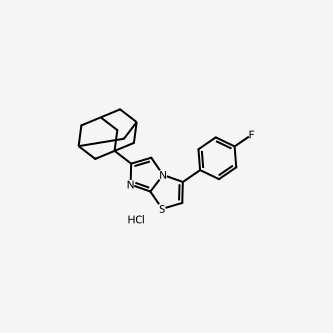 Cl.Fc1ccc(-c2csc3nc(C45CC6CC(CC(C6)C4)C5)cn23)cc1